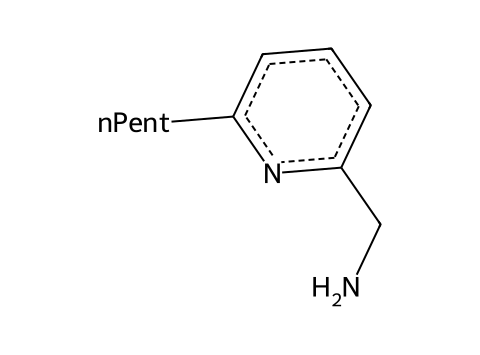 CCCCCc1cccc(CN)n1